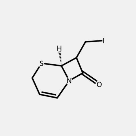 O=C1C(CI)[C@@H]2SCC=CN12